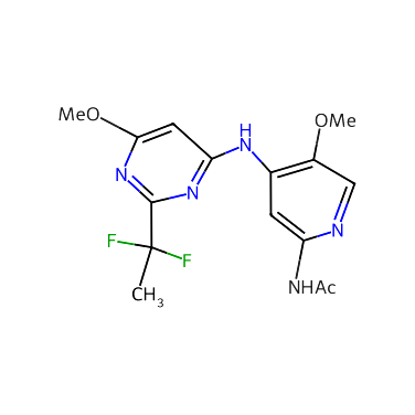 COc1cc(Nc2cc(NC(C)=O)ncc2OC)nc(C(C)(F)F)n1